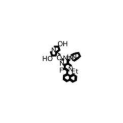 CCc1cccc2cccc(-c3ncc4c(N5CC6CCC(C5)N6)nc(OC[C@@]56C[C@H](O)CN5C[C@H](O)C6)nc4c3F)c12